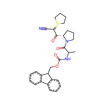 CC(NC(=O)OCC1c2ccccc2-c2ccccc21)C(=O)N1CCC[C@H]1C(=O)C(C#N)=S1CCCC1